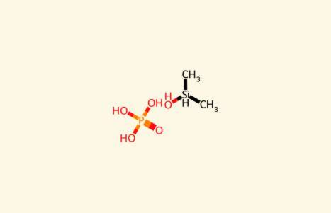 C[SiH](C)O.O=P(O)(O)O